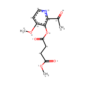 COC(=O)CCC(=O)Oc1c(OC)ccnc1C(C)=O